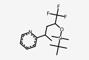 CC(CC(O[Si](C)(C)C(C)(C)C)C(F)(F)F)c1ccccn1